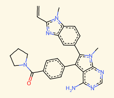 C=Cc1nc2cc(-c3c(-c4ccc(C(=O)N5CCCC5)cc4)c4c(N)ncnc4n3C)ccc2n1C